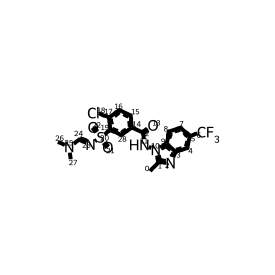 Cc1nc2cc(C(F)(F)F)ccc2n1NC(=O)c1ccc(Cl)c(S(=O)(=O)N=CN(C)C)c1